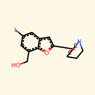 OCc1cc(I)cc2cc(C3=CN4CCC3CC4)oc12